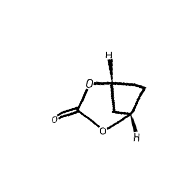 O=C1O[C@H]2C[C@H](C2)O1